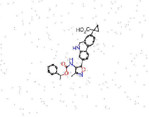 Cc1noc(-c2ccc3c(c2)NCc2cc(C4(C(=O)O)CC4)ccc2-3)c1NC(=O)OC(C)c1ccccc1